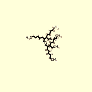 CCCCCCC(COCC(CCCCCC)C(CC)CCCCC)C(CC)CCCCC